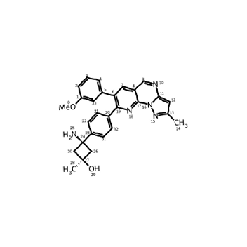 COc1cccc(-c2cc3cnc4cc(C)nn4c3nc2-c2ccc([C@]3(N)C[C@@](C)(O)C3)cc2)c1